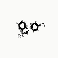 CC(C)n1c[n+](-c2ccc(C#N)cc2)c2ccccc21